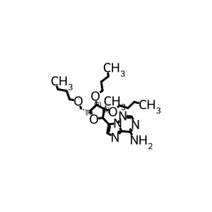 CCCCOC[C@H]1OC(c2cnc3c(N)ncnn23)[C@](C)(OCCCC)[C@@H]1OCCCC